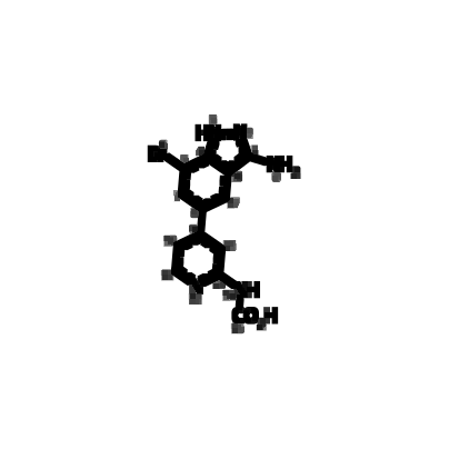 Nc1n[nH]c2c(Br)cc(-c3ccnc(NC(=O)O)c3)cc12